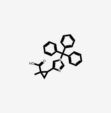 CC1(C(=O)O)CC1c1cn(C(c2ccccc2)(c2ccccc2)c2ccccc2)cn1